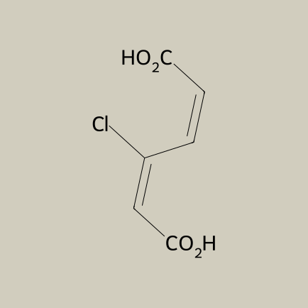 O=C(O)/C=C\C(Cl)=C/C(=O)O